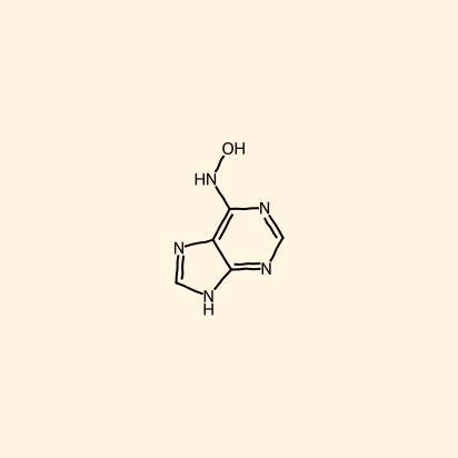 ONc1ncnc2[nH]cnc12